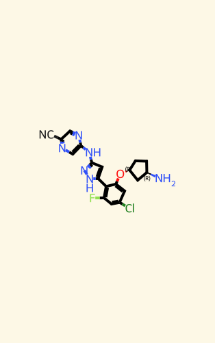 N#Cc1cnc(Nc2cc(-c3c(F)cc(Cl)cc3O[C@@H]3CC[C@@H](N)C3)[nH]n2)cn1